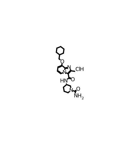 Cc1nc2c(OCC3CCCCC3)cccn2c1C(=O)N[C@H]1CCCN(C(N)=O)C1.Cl